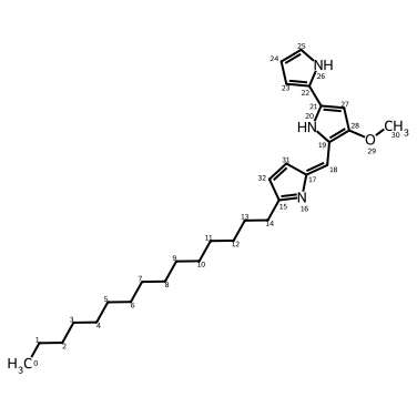 CCCCCCCCCCCCCCCC1=N/C(=C/c2[nH]c(-c3ccc[nH]3)cc2OC)C=C1